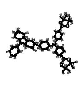 CC1(C)OB(c2ccc(N(c3ccc(B4OC(C)(C)C(C)(C)O4)cc3)c3ccc(-c4ccc5c(c4)c4ccccc4n5-c4ccccc4)cc3)cc2)OC1(C)C